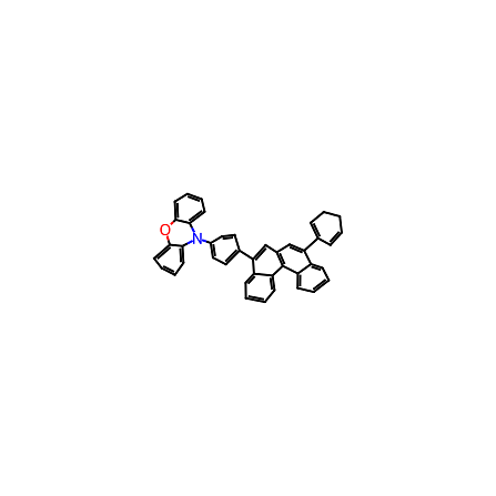 C1=CC(c2cc3cc(-c4ccc(N5c6ccccc6Oc6ccccc65)cc4)c4ccccc4c3c3ccccc23)=CCC1